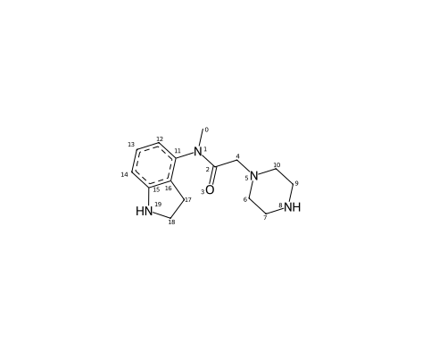 CN(C(=O)CN1CCNCC1)c1cccc2c1CCN2